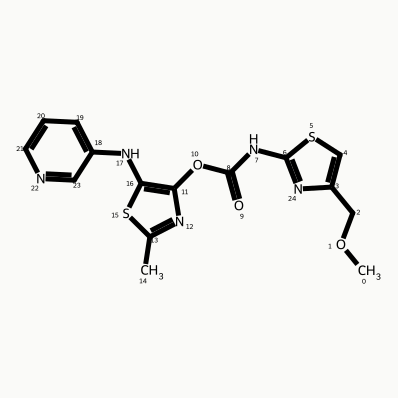 COCc1csc(NC(=O)Oc2nc(C)sc2Nc2cccnc2)n1